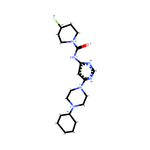 O=C(Nc1cc(N2CCN(C3CCCCC3)CC2)ncn1)N1CCC(F)CC1